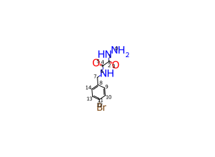 NNC(=O)C(=O)NCc1ccc(Br)cc1